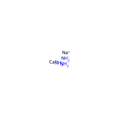 [Ca+2].[NH2-].[NH2-].[NH2-].[Na+]